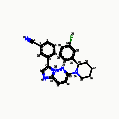 N#Cc1cccc(-c2cnc3ccc(N4CCCC[C@@H]4c4cccc(F)c4)nn23)c1